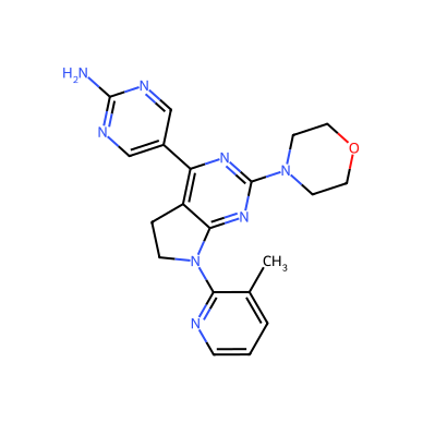 Cc1cccnc1N1CCc2c(-c3cnc(N)nc3)nc(N3CCOCC3)nc21